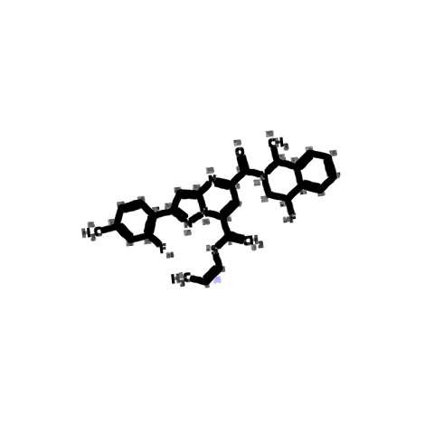 C=C(S/C=C\C)c1cc(C(=O)N2CC(F)c3ccccc3C2C)nc2cc(-c3ccc(C)cc3F)nn12